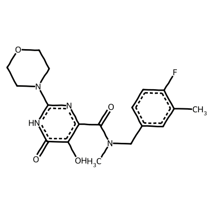 Cc1cc(CN(C)C(=O)c2nc(N3CCOCC3)[nH]c(=O)c2O)ccc1F